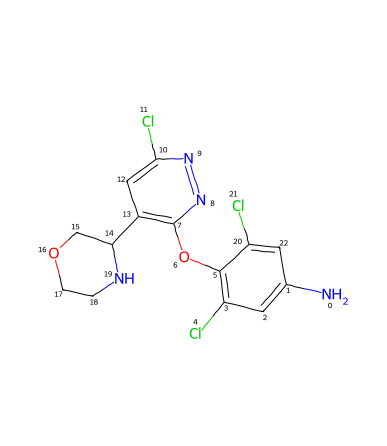 Nc1cc(Cl)c(Oc2nnc(Cl)cc2C2COCCN2)c(Cl)c1